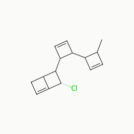 CC1C=CC1C1C=CC1C1C2CC=C2[C@H]1Cl